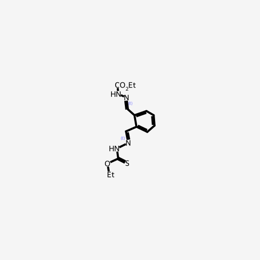 CCOC(=O)N/N=C/c1ccccc1/C=N/NC(=S)OCC